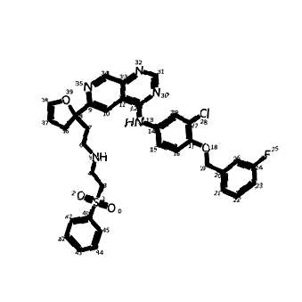 O=S(=O)(CCNCCC1(c2cc3c(Nc4ccc(OCc5cccc(F)c5)c(Cl)c4)ncnc3cn2)CC=CO1)c1ccccc1